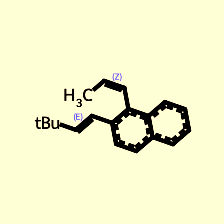 C/C=C\c1c(/C=C/C(C)(C)C)ccc2ccccc12